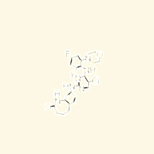 O=C1CCCc2ccc(Nc3ncc(Cl)c(Nc4c(F)cc(F)cc4N4CCOCC4)n3)cc2N1